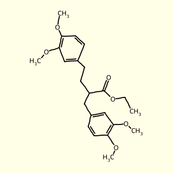 CCOC(=O)C(CCc1ccc(OC)c(OC)c1)Cc1ccc(OC)c(OC)c1